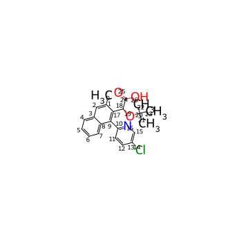 Cc1cc2ccccc2c(-c2ccc(Cl)cn2)c1[C@H](OC(C)(C)C)C(=O)O